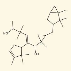 CC1=CCC(C(=CC(C)(C)C(C)O)C(O)C2(C)CC2CC2CC3CC3(C)C2(C)C)C1(C)C